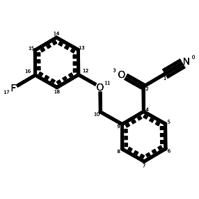 N#CC(=O)c1ccccc1COc1cccc(F)c1